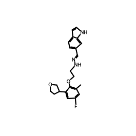 Cc1cc(F)cc(C2CCOC2)c1OCCN/N=C/c1ccc2cc[nH]c2c1